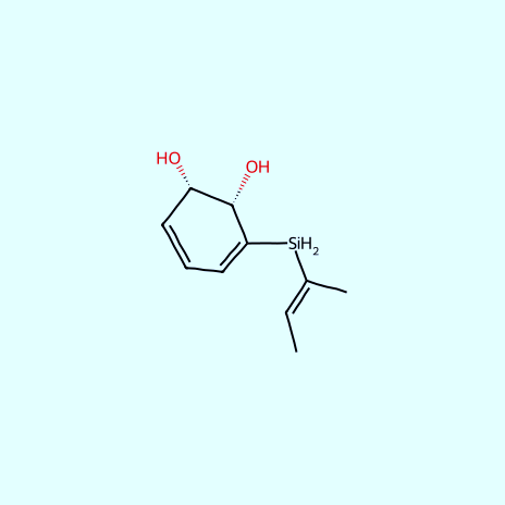 CC=C(C)[SiH2]C1=CC=C[C@H](O)[C@@H]1O